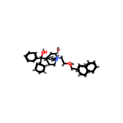 OC(c1ccccc1)(c1ccccc1)C12CC[N+](CCOCc3ccc4ccccc4c3)(CC1)CC2.[Br-]